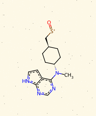 CN(c1ncnc2[nH]ccc12)[C@H]1CC[C@H](C[S+]=O)CC1